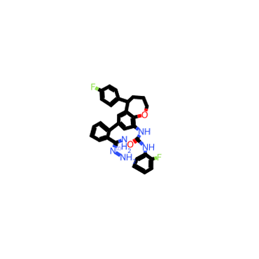 N/N=C(\N)c1ccccc1-c1cc(NC(=O)Nc2ccccc2F)c2c(c1)C(c1ccc(F)cc1)CCCO2